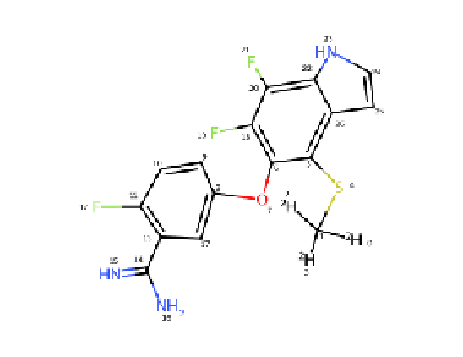 [2H]C([2H])([2H])Sc1c(Oc2ccc(F)c(C(=N)N)c2)c(F)c(F)c2[nH]ccc12